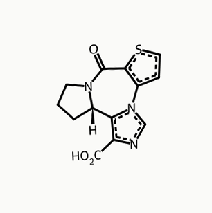 O=C(O)c1ncn2c1[C@@H]1CCCN1C(=O)c1sccc1-2